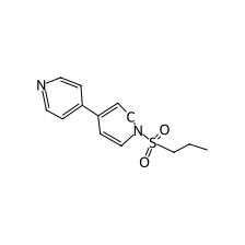 CCCS(=O)(=O)N1C=CC(c2ccncc2)=CC1